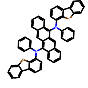 c1ccc(N(c2c3ccccc3cc3c(N(c4ccccc4)c4cccc5c4sc4ccccc45)c4ccccc4cc23)c2cccc3c2sc2ccccc23)cc1